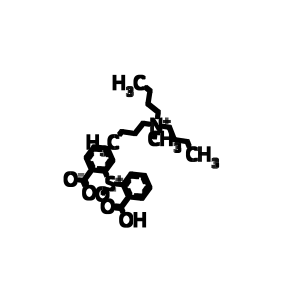 CCCC[N+](C)(CCCC)CCCC.O=C([O-])c1ccccc1[S+]([O-])c1ccccc1C(=O)O